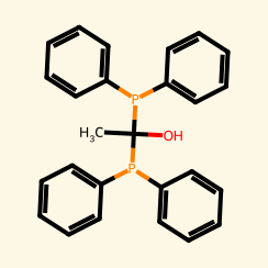 CC(O)(P(c1ccccc1)c1ccccc1)P(c1ccccc1)c1ccccc1